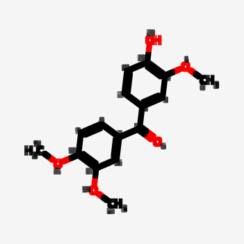 COc1cc(C(=O)c2ccc(OC)c(OC)c2)ccc1O